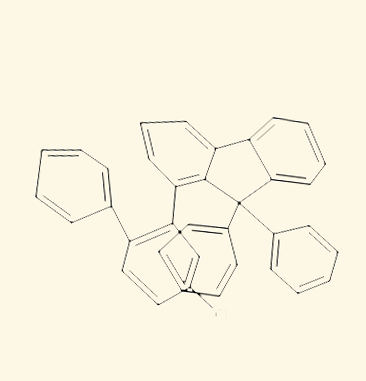 Clc1ccc(-c2ccccc2)c(-c2cccc3c2C(c2ccccc2)(c2ccccc2)c2ccccc2-3)c1